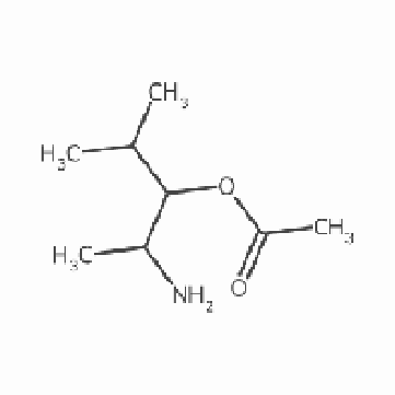 CC(=O)OC(C(C)C)C(C)N